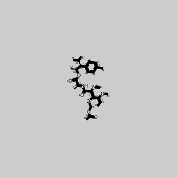 C=N/C(C(=O)N[C@@H](C)C(=O)O[C@@H](C)[C@H](c1ccc(C)cc1)C(C)C)=C(OCOC(C)=O)\C(=C/C)OC